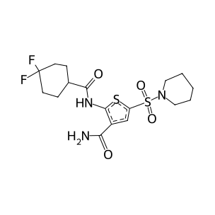 NC(=O)c1cc(S(=O)(=O)N2CCCCC2)sc1NC(=O)C1CCC(F)(F)CC1